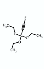 CCO[Si](C#CF)(OCC)OCC